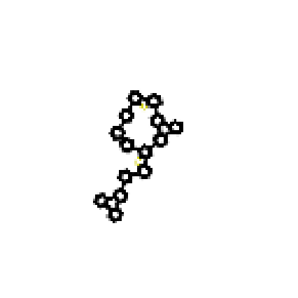 c1ccc(-c2ccc(-c3cccc4c3sc3c(-c5ccc6c7cc(-c8cc(-c9ccccc9)c9sc%10c(-c%11cccc(-c%12ccc%13c%14ccccc%14c%14ccccc%14c%13c%12)c%11)cccc%10c9c8)ccc7c7ccccc7c6c5)cccc34)cc2)cc1